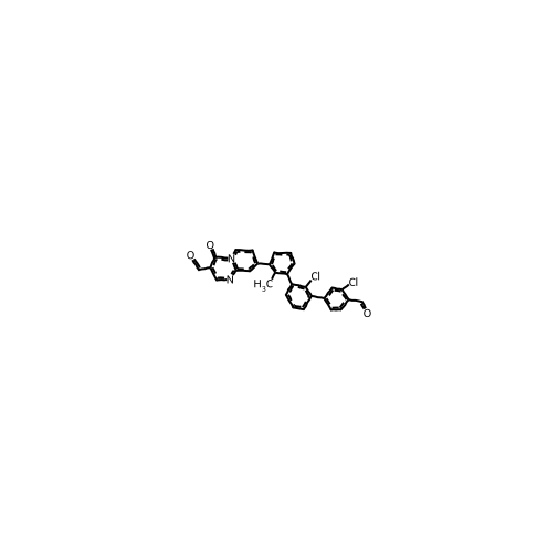 Cc1c(-c2ccn3c(=O)c(C=O)cnc3c2)cccc1-c1cccc(-c2ccc(C=O)c(Cl)c2)c1Cl